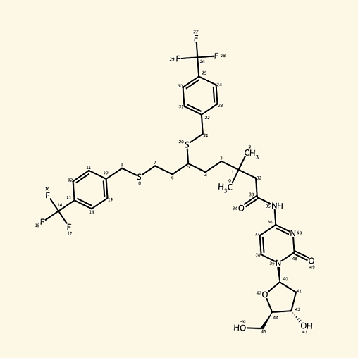 CC(C)(CCC(CCSCc1ccc(C(F)(F)F)cc1)SCc1ccc(C(F)(F)F)cc1)CC(=O)Nc1ccn([C@H]2C[C@H](O)[C@@H](CO)O2)c(=O)n1